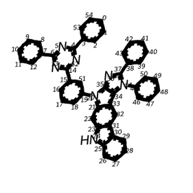 c1ccc(-c2nc(-c3ccccc3)nc(-c3cccc(-n4c5cc6[nH]c7ccccc7c6cc5c5c4nc(-c4ccccc4)n5-c4ccccc4)c3)n2)cc1